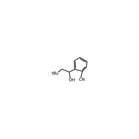 CC(C)(C)CC(O)c1ccccc1C#N